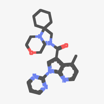 Cc1ccnc2c1c(C(=O)NCC1(N3CCOCC3)CCCCC1)cn2-c1ncccn1